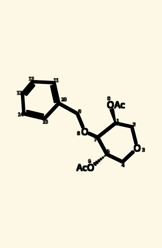 CC(=O)O[C@H]1COC[C@H](OC(C)=O)C1OCc1ccccc1